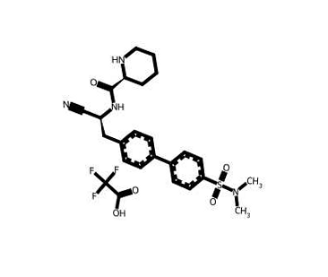 CN(C)S(=O)(=O)c1ccc(-c2ccc(C[C@@H](C#N)NC(=O)[C@@H]3CCCCN3)cc2)cc1.O=C(O)C(F)(F)F